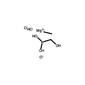 CC.Cl.OCN(O)O.[Cl-].[Cl-].[Mg+2]